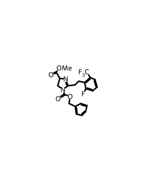 COC(=O)C1CN(C(=O)OCc2ccccc2)C(CCc2c(F)cccc2C(F)(F)F)=N1